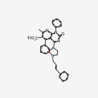 CCOC(=O)c1c(C)nc2c(c(N3CCN(CC=Cc4ccccc4)CC3)nc(=O)n2-c2ccccc2)c1-c1ccccc1